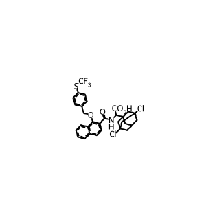 O=C(NC(C(=O)O)C12CC3CC(Cl)(CC(Cl)(C3)C1)C2)c1ccc2ccccc2c1OCc1ccc(SC(F)(F)F)cc1